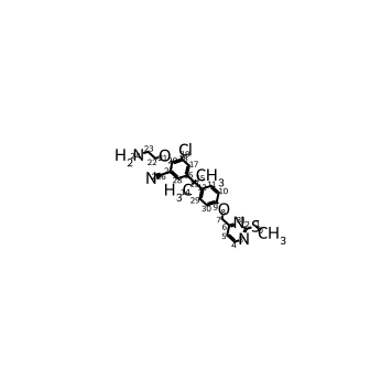 CSc1nccc(COc2ccc(C(C)(C)c3cc(Cl)c(OCCN)c(C#N)c3)cc2)n1